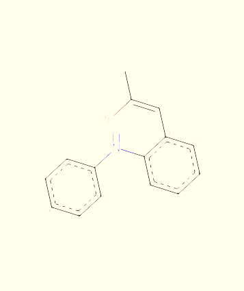 C/C(Br)=C/c1ccccc1Nc1ccccc1